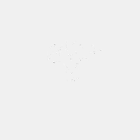 CC(C)(C)c1ccc2c(c1)c1cc(C(C)(C)C)cc(Br)c1n2C(=O)C12CC3CC(CC(C3)C1)C2